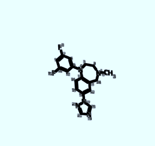 CN1CCN(c2cc(F)cc(F)c2)c2ccc(-n3cncn3)cc2C1